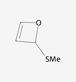 CSC1C=CO1